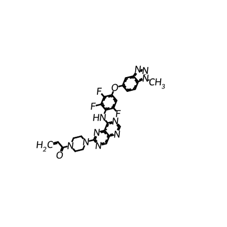 C=CC(=O)N1CCN(c2ncc3ncnc(Nc4c(F)cc(Oc5ccc6c(c5)nnn6C)c(F)c4F)c3n2)CC1